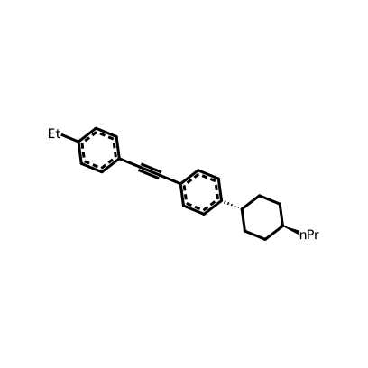 CCC[C@H]1CC[C@H](c2ccc(C#Cc3ccc(CC)cc3)cc2)CC1